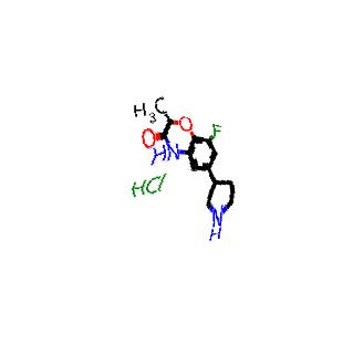 C[C@H]1Oc2c(F)cc(C3CCNC3)cc2NC1=O.Cl